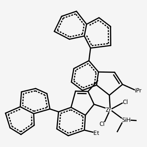 CCc1ccc(-c2cccc3ccccc23)c2c1[CH]([Zr]([Cl])([Cl])([CH]1C(C(C)C)=Cc3c(-c4cccc5ccccc45)cccc31)[SiH](C)C)C(C)=C2